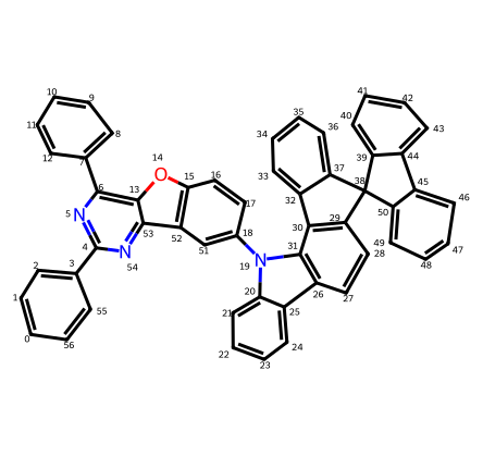 c1ccc(-c2nc(-c3ccccc3)c3oc4ccc(-n5c6ccccc6c6ccc7c(c65)-c5ccccc5C75c6ccccc6-c6ccccc65)cc4c3n2)cc1